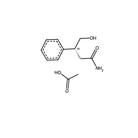 CC(=O)O.NC(=O)C[C@@H](CO)c1ccccc1